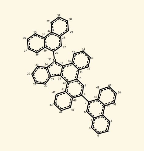 c1ccc2c(c1)cc(-c1cc3c4ccccc4c4c(c5ccccc5n4-c4cc5ccccc5c5ccccc45)c3c3ccccc13)c1ccccc12